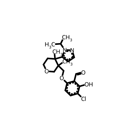 CC(C)n1nccc1C1(C)CCOCC1(C)COc1ccc(Cl)c(O)c1C=O